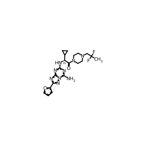 CC(F)(F)CN1CCN(C(=O)[C@@H](Nc2nc(N)n3nc(-c4ccco4)nc3n2)C2CC2)CC1